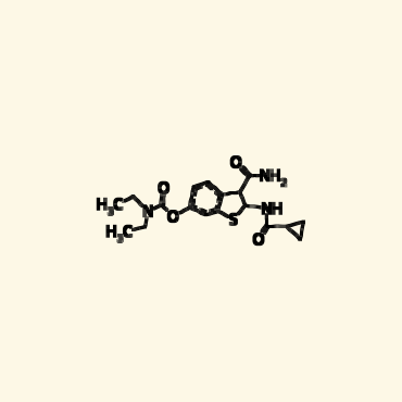 CCN(CC)C(=O)Oc1ccc2c(c1)SC(NC(=O)C1CC1)C2C(N)=O